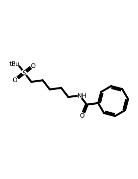 CC(C)(C)S(=O)(=O)CCCCCNC(=O)C1=C/C=C\C=C/C=C\1